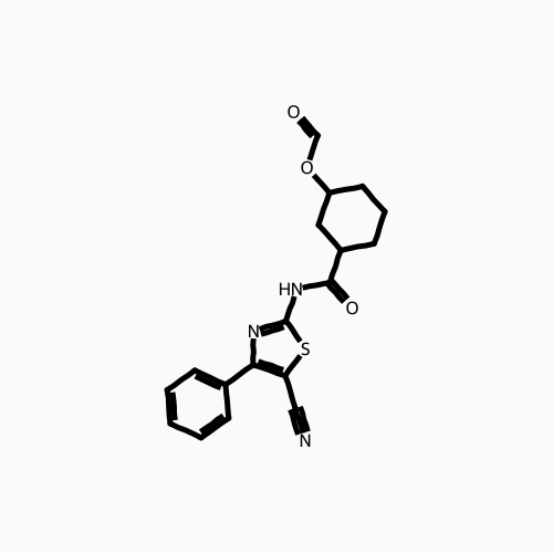 N#Cc1sc(NC(=O)C2CCCC(OC=O)C2)nc1-c1ccccc1